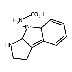 C1=CC2=C3CCNC3NC2C=C1.NC(=O)O